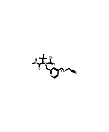 CN(C)C(=O)C(N(Cc1cc(CNCC#N)ccn1)C(=O)O)C(C)(C)C